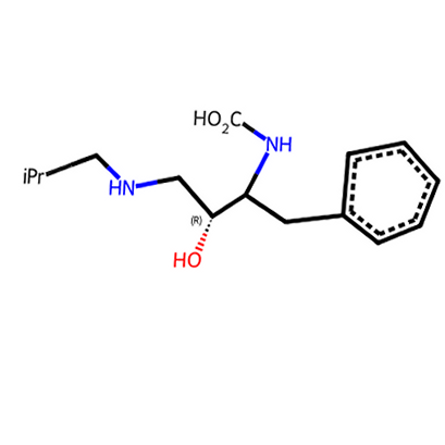 CC(C)CNC[C@@H](O)C(Cc1ccccc1)NC(=O)O